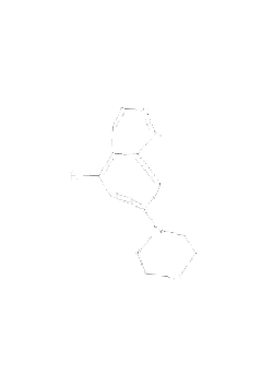 Brc1cc(N2CCOCC2)cc2nnccc12